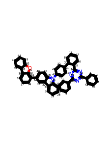 c1ccc(-c2nc(-c3ccccc3)nc(-c3ccccc3-c3ccc(-n4c5ccccc5c5cc(-c6cccc7c6oc6ccccc67)ccc54)cc3)n2)cc1